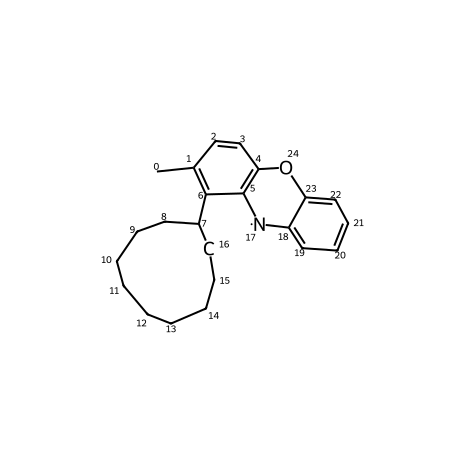 Cc1ccc2c(c1C1CCCCCCCCC1)[N]c1ccccc1O2